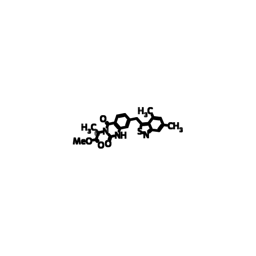 COC(=O)[C@H](C)n1c(=O)[nH]c2cc(Cc3snc4cc(C)cc(C)c34)ccc2c1=O